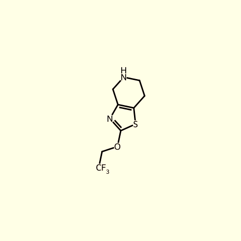 FC(F)(F)COc1nc2c(s1)CCNC2